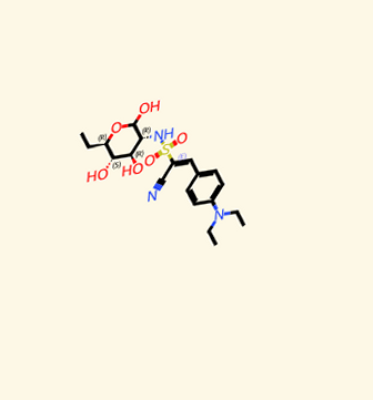 CC[C@H]1OC(O)[C@H](NS(=O)(=O)/C(C#N)=C/c2ccc(N(CC)CC)cc2)[C@@H](O)[C@@H]1O